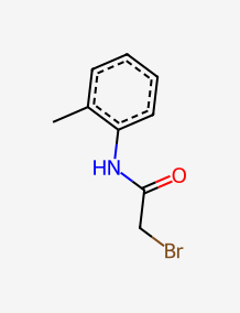 Cc1ccccc1NC(=O)CBr